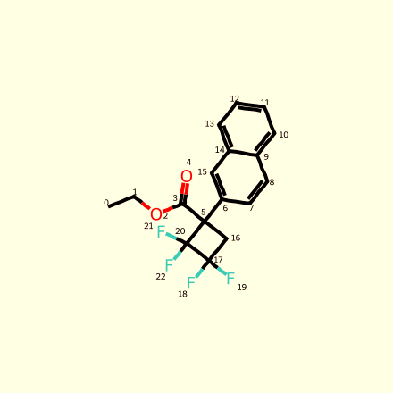 CCOC(=O)C1(c2ccc3ccccc3c2)CC(F)(F)C1(F)F